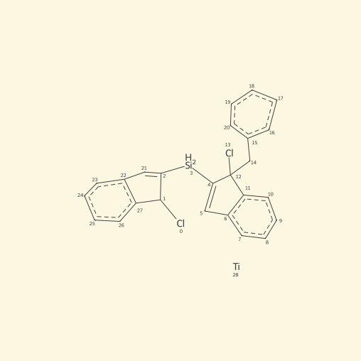 ClC1C([SiH2]C2=Cc3ccccc3C2(Cl)Cc2ccccc2)=Cc2ccccc21.[Ti]